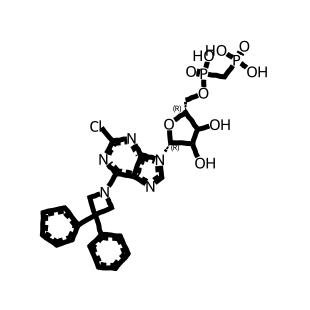 O=P(O)(O)CP(=O)(O)OC[C@H]1O[C@@H](n2cnc3c(N4CC(c5ccccc5)(c5ccccc5)C4)nc(Cl)nc32)C(O)C1O